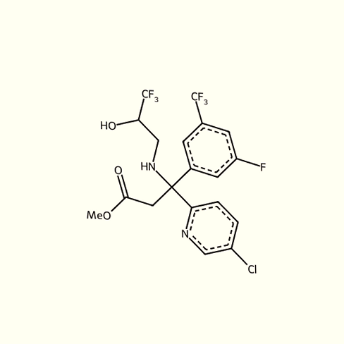 COC(=O)CC(NCC(O)C(F)(F)F)(c1cc(F)cc(C(F)(F)F)c1)c1ccc(Cl)cn1